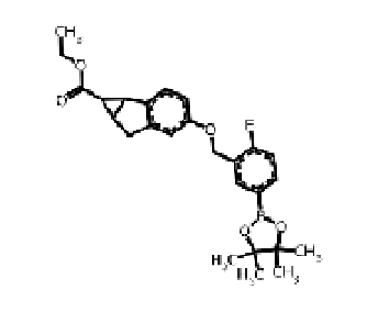 CCOC(=O)C1C2Cc3cc(OCc4cc(B5OC(C)(C)C(C)(C)O5)ccc4F)ccc3C21